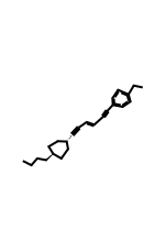 CCCC[C@H]1CC[C@H](C#C/C=C/C#Cc2ccc(CC)cc2)CC1